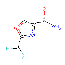 NC(=O)c1coc(C(F)F)n1